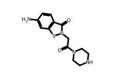 Nc1ccc2c(=O)n(CC(=O)N3CCNCC3)sc2c1